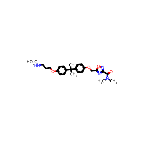 CN(C)C(=O)c1noc(COc2ccc(C(C)(C)c3ccc(OCCCNC(=O)O)cc3)cc2)n1